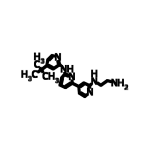 CC(C)(C)c1ccnc(Nc2cccc(-c3ccnc(NCCN)c3)n2)c1